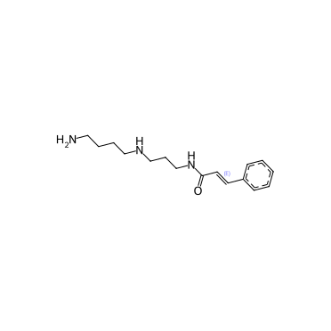 NCCCCNCCCNC(=O)/C=C/c1ccccc1